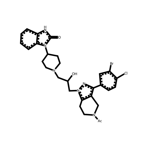 CC(=O)N1CCc2c(c(-c3ccc(Cl)c(Br)c3)nn2CC(O)CN2CCC(n3c(=O)[nH]c4ccccc43)CC2)C1